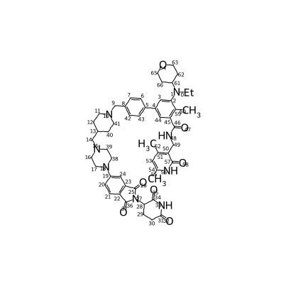 CCN(c1cc(-c2ccc(CN3CCC(CN4CCN(c5ccc6c(c5)C(=O)N(C5CCC(=O)NC5=O)C6=O)CC4)CC3)cc2)cc(C(=O)NCc2c(C)cc(C)[nH]c2=O)c1C)C1CCOCC1